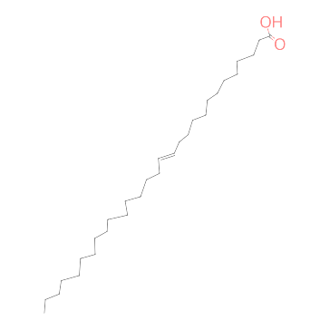 CCCCCCCCCCCCCCCC=CCCCCCCCCCCCC(=O)O